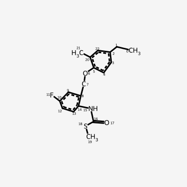 CCc1ccc(OCc2cc(F)ccc2NC(=O)SC)c(C)c1